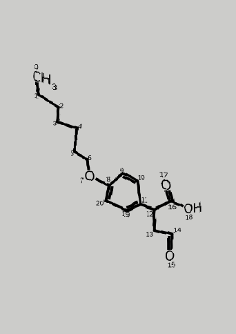 CCCCCCCOc1ccc(C(CC=O)C(=O)O)cc1